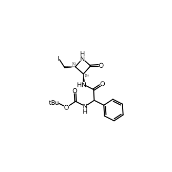 CC(C)(C)OC(=O)NC(C(=O)N[C@@H]1C(=O)N[C@@H]1CI)c1ccccc1